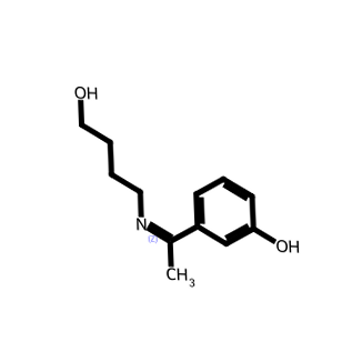 C/C(=N/CCCCO)c1cccc(O)c1